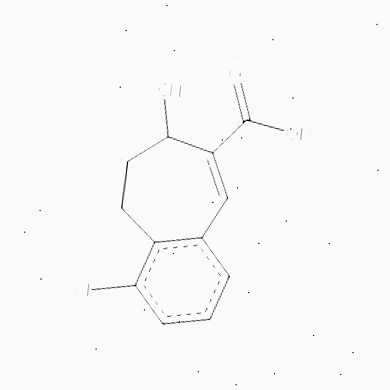 CC1CCc2c(Cl)cccc2C=C1C(=O)O